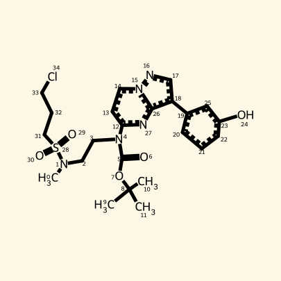 CN(CCN(C(=O)OC(C)(C)C)c1ccn2ncc(-c3cccc(O)c3)c2n1)S(=O)(=O)CCCCl